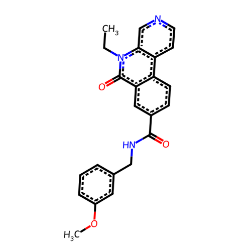 CCn1c(=O)c2cc(C(=O)NCc3cccc(OC)c3)ccc2c2ccncc21